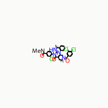 CNC(=O)c1ccc(-n2c(N[C@@H](C)c3ccccc3)nc3c(c2=O)C[C@@H](C)N(C(=O)c2ccc(Cl)c(Cl)c2)C3)c(Cl)c1